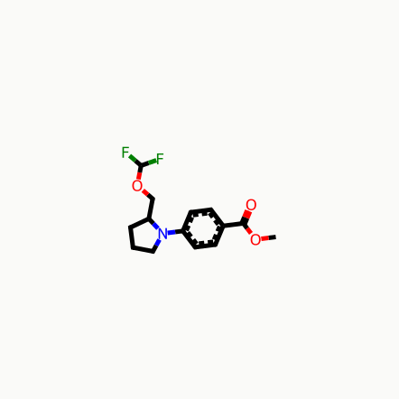 COC(=O)c1ccc(N2CCCC2COC(F)F)cc1